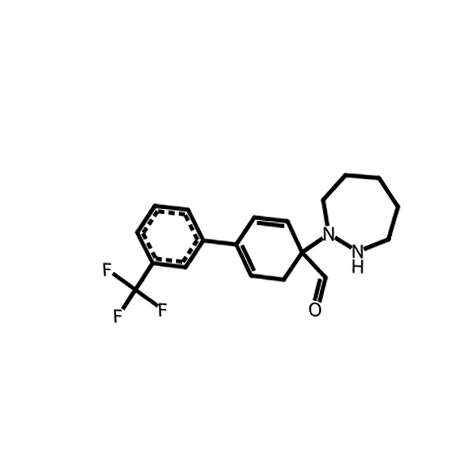 O=CC1(N2CCCCCN2)C=CC(c2cccc(C(F)(F)F)c2)=CC1